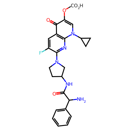 NC(C(=O)NC1CCN(c2nc3c(cc2F)c(=O)c(OC(=O)O)cn3C2CC2)C1)c1ccccc1